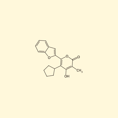 Cc1c(O)c(C2CCCC2)c(-c2cc3ccccc3o2)oc1=O